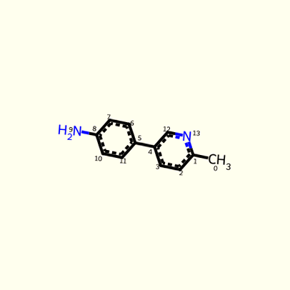 Cc1ccc(-c2ccc(N)cc2)cn1